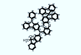 CC1(C)C2=C(C=CCC2)c2ccc(N(c3ccc4c(c3)c3ccccc3n4-c3ccccc3)c3cccc4c3Oc3ccc5c(c3O4)-c3ccccc3C53c4ccccc4-c4ccccc43)cc21